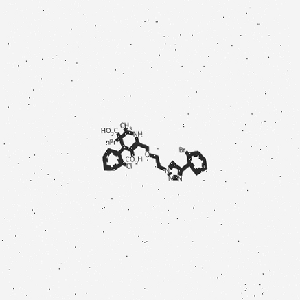 CCCC1(C(=O)O)C(C)NC(COCCn2cc(-c3ccccc3Br)nn2)=C(C(=O)O)C1c1ccccc1Cl